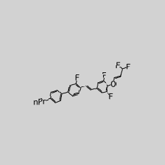 CCCc1ccc(-c2ccc(/C=C/c3cc(F)c(O/C=C/C(F)F)c(F)c3)c(F)c2)cc1